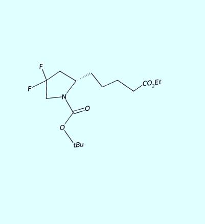 CCOC(=O)CCCC[C@H]1CC(F)(F)CN1C(=O)OC(C)(C)C